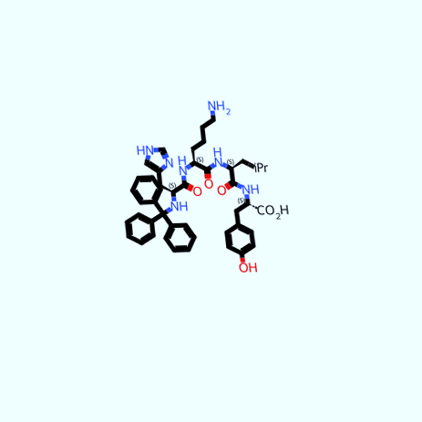 CC(C)C[C@H](NC(=O)[C@H](CCCCN)NC(=O)[C@H](Cc1c[nH]cn1)NC(c1ccccc1)(c1ccccc1)c1ccccc1)C(=O)N[C@@H](Cc1ccc(O)cc1)C(=O)O